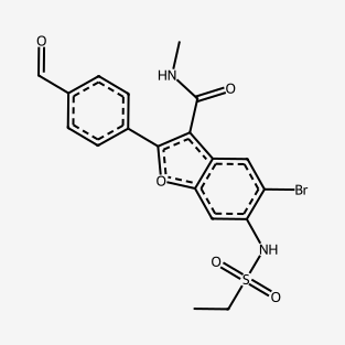 CCS(=O)(=O)Nc1cc2oc(-c3ccc(C=O)cc3)c(C(=O)NC)c2cc1Br